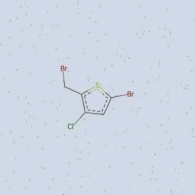 Clc1cc(Br)sc1CBr